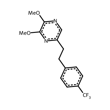 COc1ncc(CCc2ccc(C(F)(F)F)cc2)nc1OC